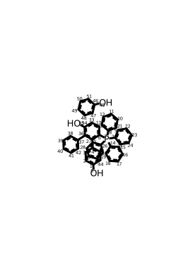 Oc1ccc(-c2c(P(c3ccccc3)(c3ccccc3)(c3ccccc3)c3ccccc3)ccc(O)c2-c2ccccc2)cc1.Oc1ccccc1